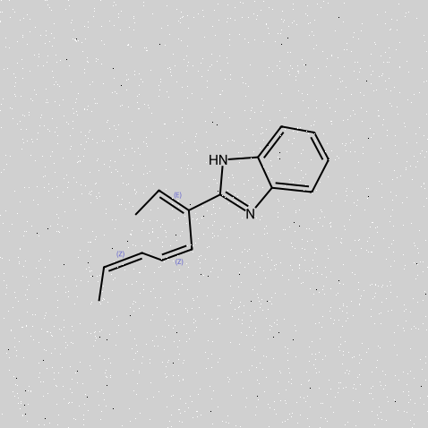 C\C=C/C=C\C(=C/C)c1nc2ccccc2[nH]1